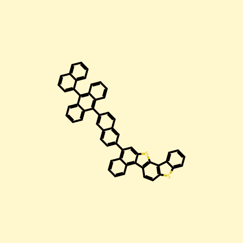 c1ccc2c(-c3c4ccccc4c(-c4ccc5cc(-c6cc7sc8c(ccc9sc%10ccccc%10c98)c7c7ccccc67)ccc5c4)c4ccccc34)cccc2c1